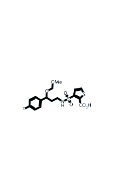 COCOC(CCNS(=O)(=O)c1ccsc1C(=O)O)c1ccc(F)cc1